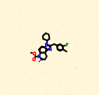 COC(=O)N1c2ccc3c(nc(Cc4ccc(C)c(F)c4)n3C3CCCCC3)c2CC[C@@H]1C